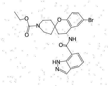 CCOC(=O)N1CCC2(CC1)C[C@@H](NC(=O)c1cccc3cn[nH]c13)c1cc(Br)ccc1O2